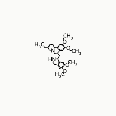 CCOc1cc2c(cc1OCC)C1CC=C(CC)CN1CC2CC1NCCc2cc(OC)c(OC)cc21